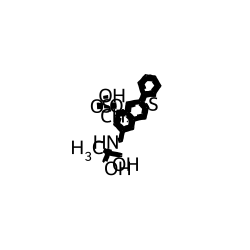 CC(CO)(CO)NCc1ccc2cc3c(cc2c1)sc1ccccc13.CS(=O)(=O)O